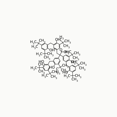 CC(C)(C)c1cc(Cc2cc(CC(C(=O)O)(c3cc(Cc4cc(C(C)(C)C)cc(C(C)(C)C)c4O)c(O)c(C(C)(C)C)c3)c3cc(Cc4cc(C(C)(C)C)cc(C(C)(C)C)c4O)c(O)c(C(C)(C)C)c3)cc(C(C)(C)C)c2O)c(O)c(C(C)(C)C)c1